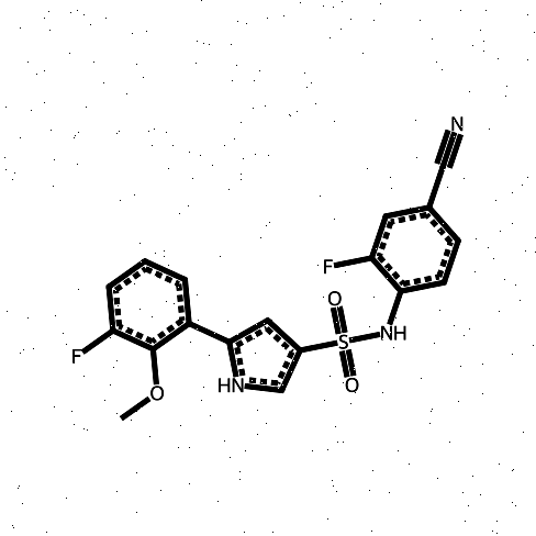 COc1c(F)cccc1-c1cc(S(=O)(=O)Nc2ccc(C#N)cc2F)c[nH]1